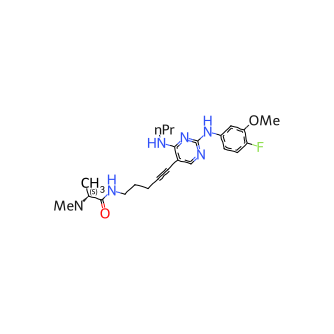 CCCNc1nc(Nc2ccc(F)c(OC)c2)ncc1C#CCCCNC(=O)[C@H](C)NC